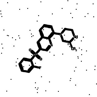 C[C@H]1CN(c2cccc3cc(S(=O)(=O)c4ccccc4F)cnc23)CCN1